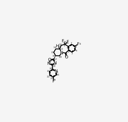 O=C1c2ccc(F)cc2C(F)(F)C[C@H]2CC[C@H](c3nc(-c4ccc(F)cn4)no3)CN12